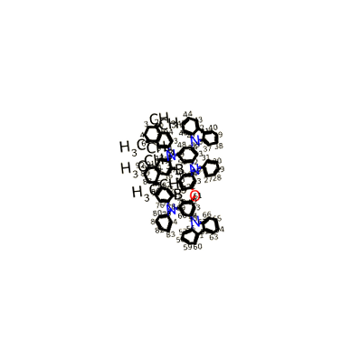 CC1(C)CCC(C)(C)c2cc(N3c4cc5c(cc4B4c6cc7c(cc6N(c6ccccc6)c6cc(-n8c9ccccc9c9ccccc98)cc3c64)Oc3cc(-n4c6ccccc6c6ccccc64)cc4c3B7c3ccccc3N4c3ccccc3)C(C)(C)CCC5(C)C)ccc21